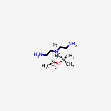 C[SiH2]O[Si](C)(C)C.NCCNCCN.[Pt]